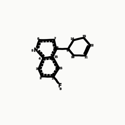 Fc1ccc2nccc(C3CC=CCC3)c2c1